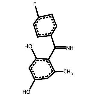 Cc1cc(O)cc(O)c1C(=N)c1ccc(F)cc1